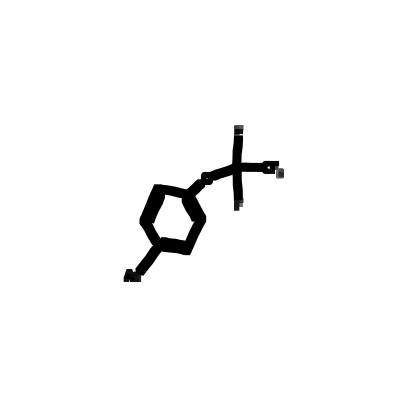 CC(=O)c1ccc(OC(F)(F)C(F)(F)F)cc1